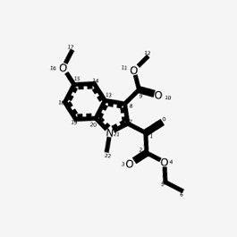 C=C(C(=O)OCC)c1c(C(=O)OC)c2cc(OC)ccc2n1C